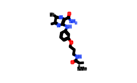 CCc1nc(C(N)=O)c(Nc2cccc(OCCCNC(=O)[C@H](C)NC)c2)nc1C